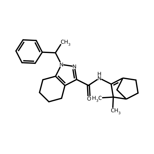 CC(c1ccccc1)n1nc(C(=O)NC2=C3CCC(C3)C2(C)C)c2c1CCCC2